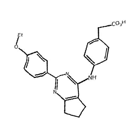 CCOc1ccc(-c2nc3c(c(Nc4ccc(CC(=O)O)cc4)n2)CCC3)cc1